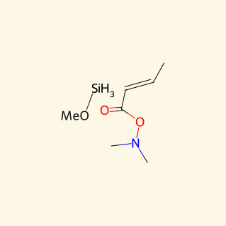 CC=CC(=O)ON(C)C.CO[SiH3]